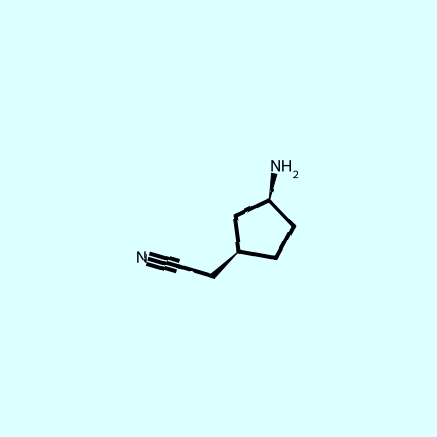 N#CC[C@@H]1CC[C@H](N)C1